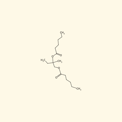 CCCCCC(=O)OCC(C)(CC)OC(=O)CCCCC